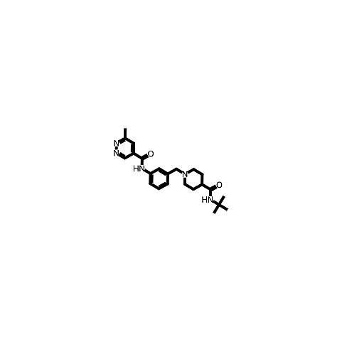 Cc1cc(C(=O)Nc2cccc(CN3CCC(C(=O)NC(C)(C)C)CC3)c2)cnn1